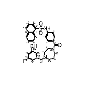 O=C(c1ccc(NS(=O)(=O)c2cccc3cccnc23)cc1)N1CCCN(Cc2cc(O)cc(F)c2)CC1